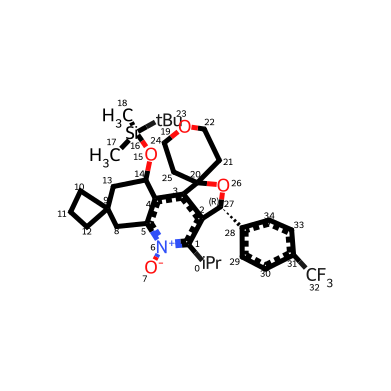 CC(C)c1c2c(c3c([n+]1[O-])CC1(CCC1)CC3O[Si](C)(C)C(C)(C)C)C1(CCOCC1)O[C@@H]2c1ccc(C(F)(F)F)cc1